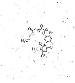 C=CCOC(=O)COC(=O)C1(Oc2cc(-n3c(=O)cc(C(F)(F)F)n(C)c3=O)c(F)cc2Br)CC1